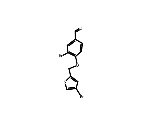 O=Cc1ccc(OCc2cc(Br)cs2)c(Br)c1